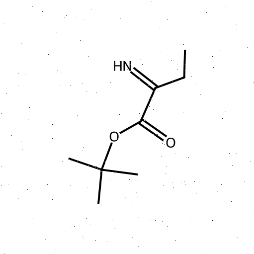 CCC(=N)C(=O)OC(C)(C)C